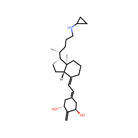 C=C1[C@H](O)CC(=C/C=C2\CCC[C@]3(C)[C@@H]([C@H](C)CCCNC4CC4)CC[C@@H]23)C[C@H]1O